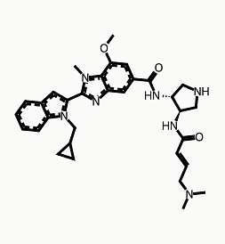 COc1cc(C(=O)N[C@@H]2CNC[C@H]2NC(=O)/C=C/CN(C)C)cc2nc(-c3cc4ccccc4n3CC3CC3)n(C)c12